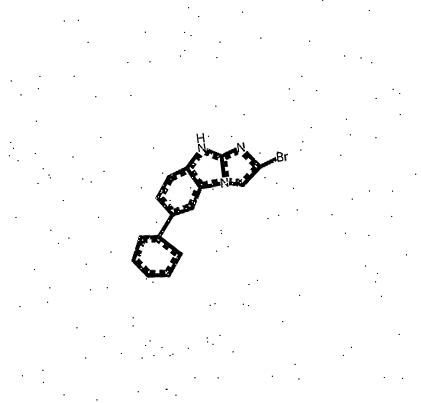 Brc1cn2c(n1)[nH]c1ccc(-c3ccccc3)cc12